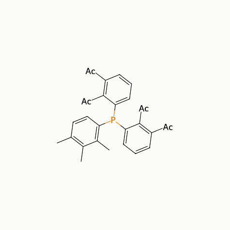 CC(=O)c1cccc(P(c2ccc(C)c(C)c2C)c2cccc(C(C)=O)c2C(C)=O)c1C(C)=O